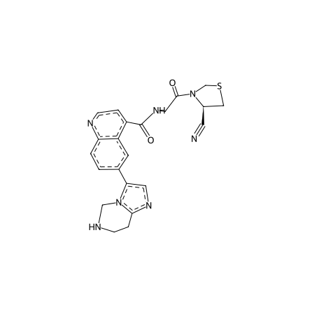 N#C[C@@H]1CSCN1C(=O)CNC(=O)c1ccnc2ccc(-c3cnc4n3CNCC4)cc12